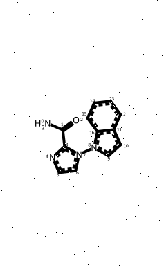 NC(=O)c1nccn1-n1ccc2ccccc21